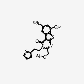 CCCCc1cc(O)c2sc3nc(COC)n(CCc4cccs4)c(=O)c3c2c1